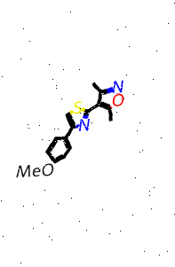 COc1ccc(-c2csc(-c3c(C)noc3C)n2)cc1